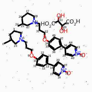 CC1CCCN(CCCOc2ccc(-c3cc[n+]([O-])cc3)cc2)C1.CC1CCCN(CCCOc2ccc(-c3cc[n+]([O-])cc3)cc2)C1.O=C(O)C(O)C(O)C(=O)O